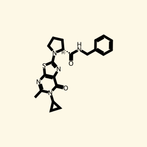 Cc1nc2sc(N3CCC[C@@H]3C(=O)NCc3ccccc3)nc2c(=O)n1C1CC1